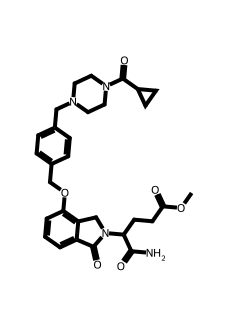 COC(=O)CCC(C(N)=O)N1Cc2c(OCc3ccc(CN4CCN(C(=O)C5CC5)CC4)cc3)cccc2C1=O